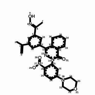 C=C(C)c1cc(C(C)=NO)cc(-c2nn(-c3cc(N4CCOCC4)ccc3[N+](=O)[O-])c(=O)c3ccccc23)c1